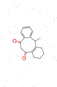 CC1C2=C(CCCC2)C(=O)CC(=O)c2ccccc21